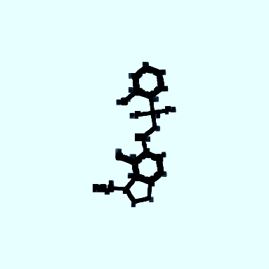 CCOC(=O)C1CCc2cnc(NCC(F)(F)c3cccc[n+]3[O-])c(=O)n21